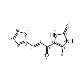 Cc1[nH]c(=O)[nH]c1C(=O)C=Cc1cccs1